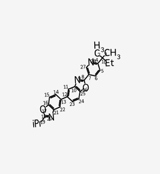 CCC(C)(C)c1ccc(-c2nc3cc(-c4ccc5oc(C(C)C)nc5c4)ccc3o2)cn1